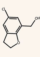 OCc1cc(Cl)cc2c1OCC2